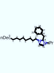 CCCCCCCCCCCCCCCCCCN1C=CN(C(C)C)C1Cc1ccccc1